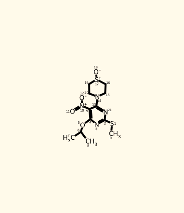 CSc1nc(OC(C)C)c([N+](=O)[O-])c(N2CC[S+]([O-])CC2)n1